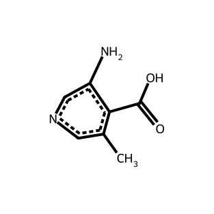 Cc1cncc(N)c1C(=O)O